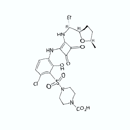 CC[C@@H](Nc1c(Nc2ccc(Cl)c(S(=O)(=O)N3CCN(C(=O)O)CC3)c2O)c(=O)c1=O)[C@H]1CC[C@@H](C)O1